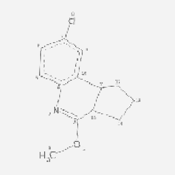 COC1=Nc2ccc(Cl)cc2C2CCCC12